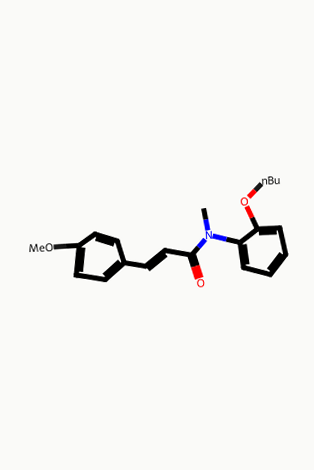 CCCCOc1ccccc1N(C)C(=O)/C=C/c1ccc(OC)cc1